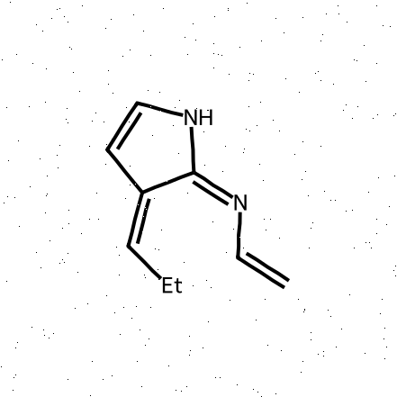 C=C/N=C1/NC=C/C1=C/CC